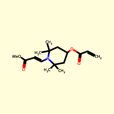 C=CC(=O)OC1CC(C)(C)N(/C=C/C(=O)OC)C(C)(C)C1